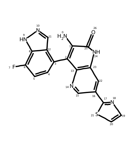 Nc1c(-c2ccc(F)c3[nH]ncc23)c2ncc(-c3nccs3)cc2[nH]c1=O